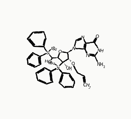 C=CCO[C@H]1[C@H](n2cnc3c(=O)[nH]c(N)nc32)O[C@H](C(O)[Si](c2ccccc2)(c2ccccc2)C(C)(C)C)[C@]1(O)[Si](c1ccccc1)(c1ccccc1)C(C)(C)C